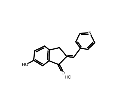 Cl.O=C1/C(=C/c2ccncc2)Cc2ccc(O)cc21